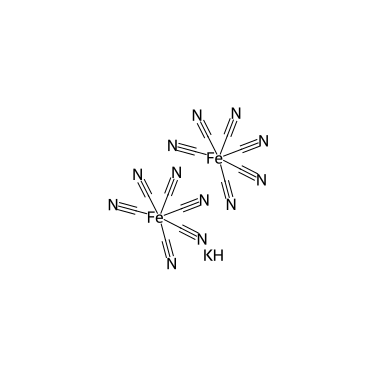 N#[C][Fe]([C]#N)([C]#N)([C]#N)([C]#N)[C]#N.N#[C][Fe]([C]#N)([C]#N)([C]#N)([C]#N)[C]#N.[KH]